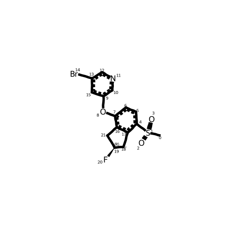 CS(=O)(=O)c1ccc(Oc2cncc(Br)c2)c2c1[CH][C@@H](F)C2